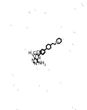 CC1(C)Oc2ncnc(N)c2N=C1c1ccc(C2CCC(CCN3CCCCC3)CC2)cc1